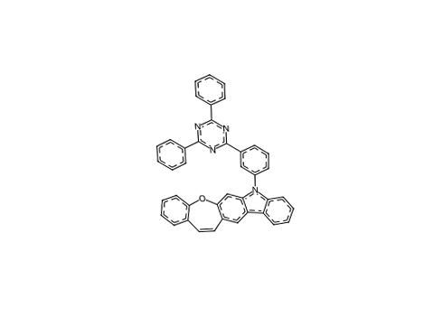 C1=Cc2cc3c4ccccc4n(-c4cccc(-c5nc(-c6ccccc6)nc(-c6ccccc6)n5)c4)c3cc2Oc2ccccc21